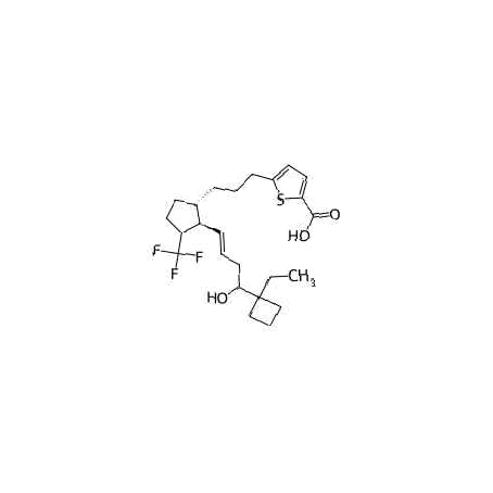 CCC1(C(O)C/C=C/[C@H]2C(C(F)(F)F)CC[C@@H]2CCCc2ccc(C(=O)O)s2)CCC1